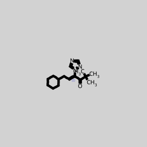 CC(C)(C)C(=O)/C(=C/CC1CCCCC1)n1cncn1